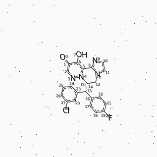 O=c1cnn2c(c1O)-c1nccn1C[C@@H]2C(c1ccc(F)cc1)c1cccc(Cl)c1